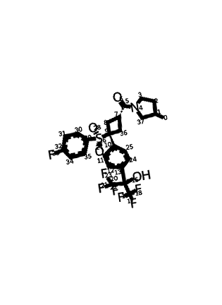 CC1CCN(C(=O)[C@H]2C[C@@](c3ccc(C(O)(C(F)(F)F)C(F)(F)F)cc3)(S(=O)(=O)c3ccc(F)cc3)C2)C1